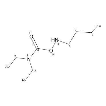 CCCCNOC(=O)N(CC)CC